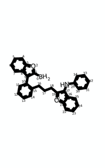 Bc1oc2ccccc2c1-c1ccccc1CCCc1oc2ccccc2c1Nc1ccccc1